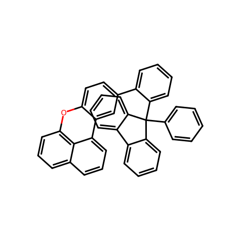 c1ccc(C2(c3ccccc3-c3ccc4c(c3)-c3cccc5cccc(c35)O4)c3ccccc3-c3ccccc32)cc1